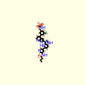 CCCC(=O)Nc1cncc(-c2ccc3[nH]nc(-c4cc5c(-c6cc(F)cc(CNS(C)(=O)=O)c6)ccnc5[nH]4)c3n2)c1